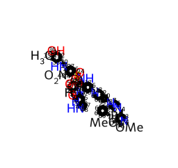 COc1cc(CN2CCN(C3CC4(CCN(c5ccc(C(=O)NS(=O)(=O)c6ccc(NC[C@H]7CC[C@](C)(O)CC7)c([N+](=O)[O-])c6)c(N6c7cc8cc[nH]c8nc7O[C@H]7COCC[C@@H]76)c5)CC4)C3)[C@@H](c3ccccc3C(C)C)C2)cnc1OC